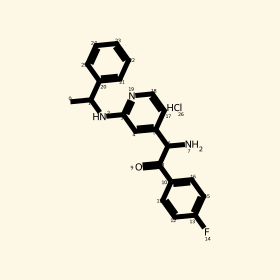 CC(Nc1cc(C(N)C(=O)c2ccc(F)cc2)ccn1)c1ccccc1.Cl